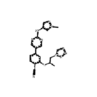 CC(Cn1cnnn1)Oc1cc(-c2cnc(Nc3cnn(C)c3)nc2)ccc1C#N